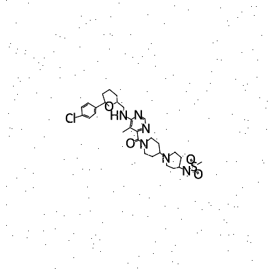 Cc1c(NCC2CCCC(c3ccc(Cl)cc3)O2)ncnc1C(=O)N1CCC(N2CCC(N(C)S(C)(=O)=O)CC2)CC1